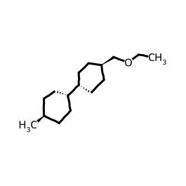 CCOC[C@H]1CC[C@H]([C@H]2CC[C@H](C)CC2)CC1